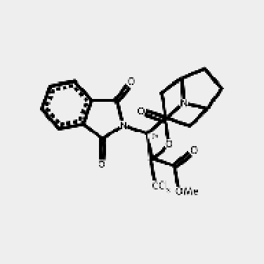 COC(=O)C[C@H](C1CC2CCC(C1)N2C(=O)OCC(Cl)(Cl)Cl)N1C(=O)c2ccccc2C1=O